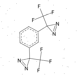 FC(F)(F)C1(c2cccc(C3(C(F)(F)F)N=N3)c2)N=N1